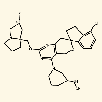 N#CNC1CCCN(c2nc(OC[C@@]34CCCN3C[C@H](F)C4)nc3c2COC2(CCc4c(Cl)cccc42)C3)C1